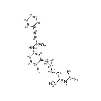 N/C(=N/C(F)F)ON[C@@H]1C[C@@H]1c1cc(NC(=O)C#Cc2ccccc2)ccc1F